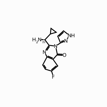 N[C@H](c1nc2ccc(F)cc2c(=O)n1-c1cc[nH]n1)C1CC1